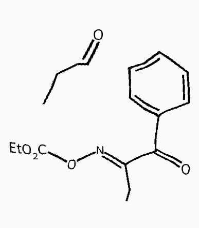 CCC=O.CCOC(=O)ON=C(C)C(=O)c1ccccc1